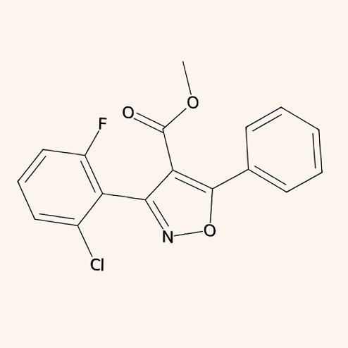 COC(=O)c1c(-c2c(F)cccc2Cl)noc1-c1ccccc1